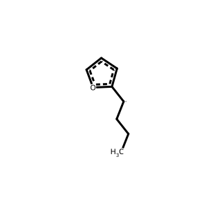 CCC[CH]c1ccco1